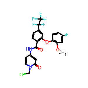 COc1cc(F)ccc1Oc1cc(C(F)(F)C(F)(F)F)ccc1C(=O)Nc1ccn(CCl)c(=O)c1